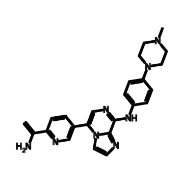 C=C(N)c1ccc(-c2cnc(Nc3ccc(N4CCN(C)CC4)cc3)c3nccn23)cn1